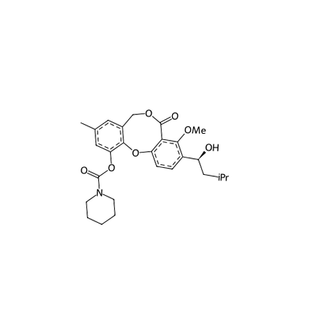 COc1c([C@@H](O)CC(C)C)ccc2c1C(=O)OCc1cc(C)cc(OC(=O)N3CCCCC3)c1O2